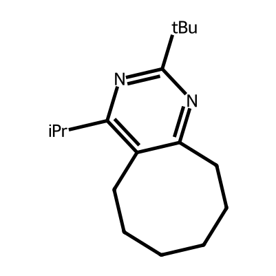 CC(C)c1nc(C(C)(C)C)nc2c1CCCCCC2